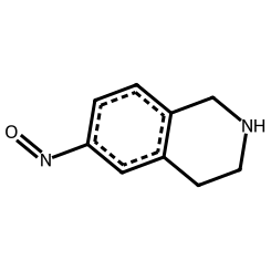 O=Nc1ccc2c(c1)CCNC2